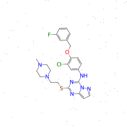 CN1CCN(CCSc2nc(Nc3ccc(OCc4cccc(F)c4)c(Cl)c3)n3nccc3n2)CC1